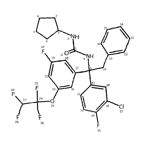 O=C(NC1CCCC1)NC(Cc1ccccc1)(c1cc(F)cc(OC(F)(F)C(F)F)c1)c1ccc(F)c(Cl)c1